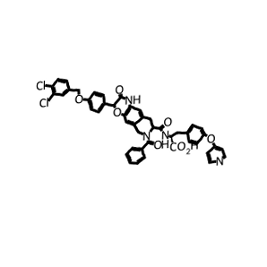 O=C1Nc2cc3c(cc2OC1c1ccc(OCc2ccc(Cl)c(Cl)c2)cc1)CN(C(=O)c1ccccc1)C(C(=O)N[C@@H](Cc1ccc(Oc2ccncc2)cc1)C(=O)O)C3